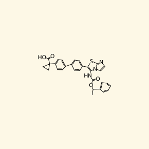 CC(OC(=O)Nc1c(-c2ccc(-c3ccc(C4(C(=O)O)CC4)cc3)cc2)sc2nccn12)c1ccccc1